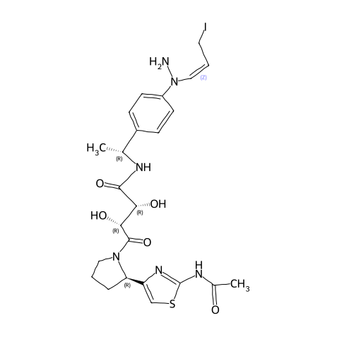 CC(=O)Nc1nc([C@H]2CCCN2C(=O)[C@H](O)[C@@H](O)C(=O)N[C@H](C)c2ccc(N(N)/C=C\CI)cc2)cs1